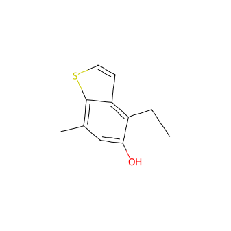 CCc1c(O)cc(C)c2sccc12